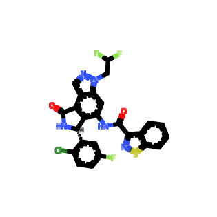 O=C(Nc1cc2c(cnn2CC(F)F)c2c1[C@H](c1cc(F)ccc1Cl)NC2=O)c1nsc2ccccc12